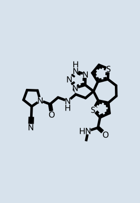 CNC(=O)c1cc2c(s1)C(C[C@@H](C)NCC(=O)N1CCCC1C#N)(c1nn[nH]n1)c1ccsc1CC2